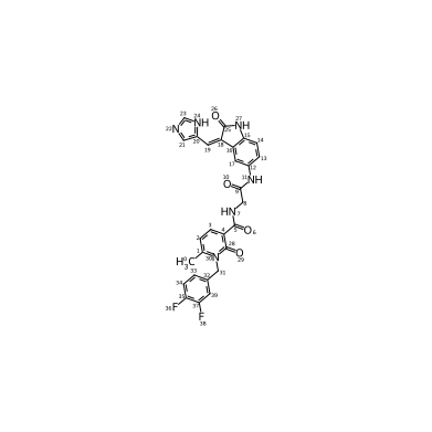 Cc1ccc(C(=O)NCC(=O)Nc2ccc3c(c2)C(=Cc2cnc[nH]2)C(=O)N3)c(=O)n1Cc1ccc(F)c(F)c1